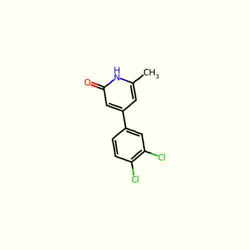 Cc1cc(-c2ccc(Cl)c(Cl)c2)cc(=O)[nH]1